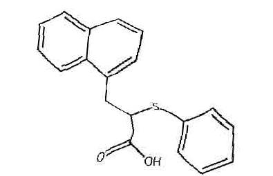 O=C(O)C(Cc1cccc2ccccc12)Sc1ccccc1